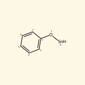 [SnH][O]c1ccccc1